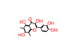 Cc1c(O)c(C)c2oc(-c3ccc(O)c(O)c3)c(O)c(=O)c2c1O